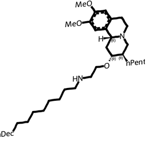 CCCCCCCCCCCCCCCCCCNCCO[C@@H]1C[C@@H]2c3cc(OC)c(OC)cc3CCN2C[C@H]1CCCCC